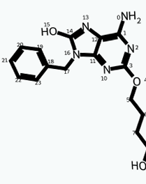 Nc1nc(OCCCCO)nc2c1nc(O)n2Cc1ccccc1